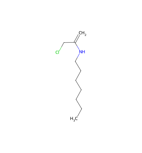 C=C(CCl)NCCCCCCC